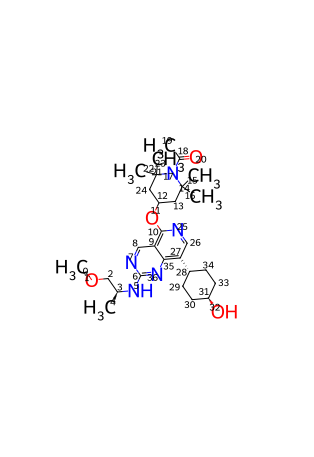 COC[C@H](C)Nc1ncc2c(OC3CC(C)(C)N(C(C)=O)C(C)(C)C3)ncc([C@H]3CC[C@H](O)CC3)c2n1